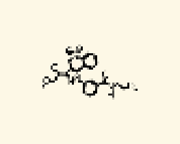 COCCNC(=O)c1cccc(-n2nc(C(=O)COC)c3c2-c2ccccc2S(=O)(=O)C3)c1